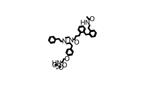 CC(=O)NCCc1ccccc1Cc1ccccc1CCC(=O)N1CCN(CCc2ccccc2)CC1Cc1ccc(OCC(=O)NS(C)(=O)=O)cc1